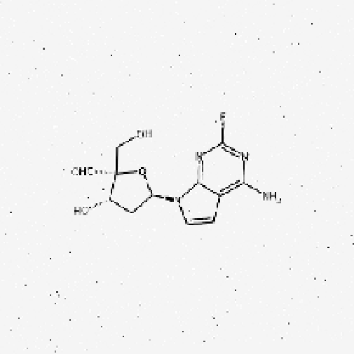 Nc1nc(F)nc2c1ccn2[C@H]1C[C@H](O)[C@@](C=O)(CO)O1